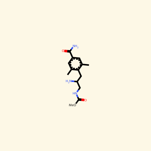 COC(=O)NCC(N)Cc1c(C)cc(C(N)=O)cc1C